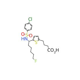 O=C(O)CCCc1ccc(C(CCCCCF)NS(=O)(=O)c2ccc(Cl)cc2)s1